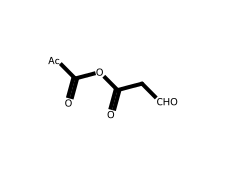 CC(=O)C(=O)OC(=O)CC=O